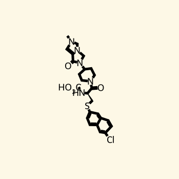 CN1C=C2C(=O)N(C3CCN(C(=O)[C@@H](CSc4ccc5cc(Cl)ccc5c4)NC(=O)O)CC3)CN2C1